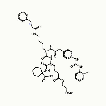 COCCOC(=O)CCC[C@H](NC(=O)[C@@H](CCCCNC(=O)/C=C/c1cccnc1)NC(=O)Cc1ccc(NC(=O)Nc2ccccc2C)cc1)C(=O)NC1(C(=O)C(C)C)CCCCC1